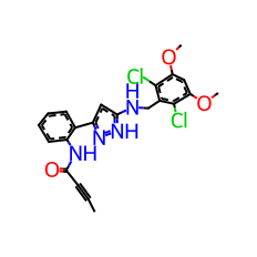 CC#CC(=O)Nc1ccccc1-c1cc(NCc2c(Cl)c(OC)cc(OC)c2Cl)[nH]n1